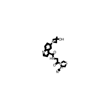 CC1(O)CN(c2ccc3nccc(C(=O)NCC(=O)N4CSC[C@H]4C#N)c3c2)C1